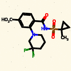 CC1(S(=O)(=O)NC(=O)c2ccc(C(=O)O)cc2N2CCCC(F)(F)C2)CC1